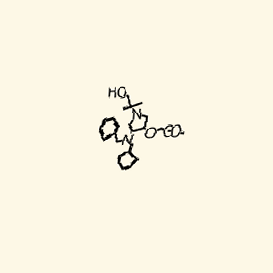 COCCO[C@@H]1CN(C(C)(C)CO)C[C@H]1N(Cc1ccccc1)Cc1ccccc1